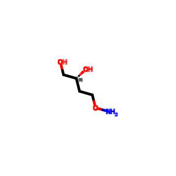 NOCC[C@@H](O)CO